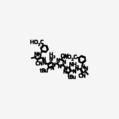 [C-]#[N+]c1c(C)nn(-c2cccc(C(=O)O)c2)c1N=Nc1c(C(C)(C)C)nn(-c2nc(O)nc(-n3nc(C(C)(C)C)c(N=Nc4c(C#N)c(C)nn4-c4cccc(C(=O)O)c4)c3N)n2)c1N